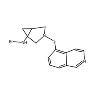 CCNC12CC1CN(Sc1cccc3cnccc13)C2